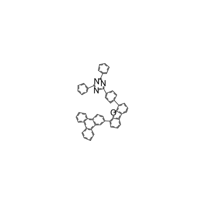 c1ccc(-c2nc(-c3ccccc3)nc(-c3ccc(-c4cccc5c4oc4c(-c6ccc7c8ccccc8c8ccccc8c7c6)cccc45)cc3)n2)cc1